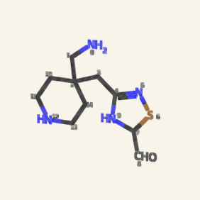 NCC1(CC2=NSC(C=O)N2)CCNCC1